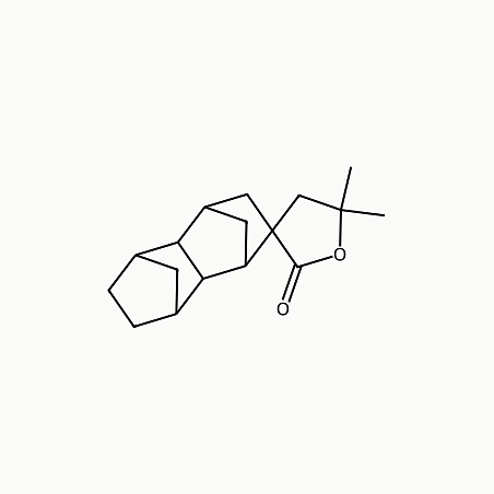 CC1(C)CC2(CC3CC2C2C4CCC(C4)C32)C(=O)O1